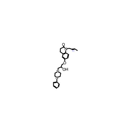 C/C=C/CN1C(=O)CCc2cc(OCC(O)CN3CCN(c4ccccc4)CC3)ccc21